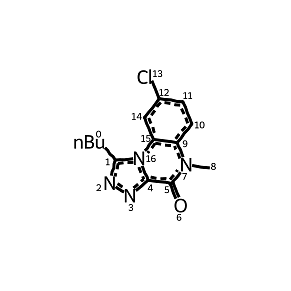 CCCCc1nnc2c(=O)n(C)c3ccc(Cl)cc3n12